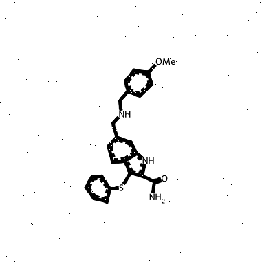 COc1ccc(CNCc2ccc3c(Sc4ccccc4)c(C(N)=O)[nH]c3c2)cc1